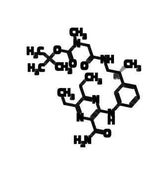 CCc1nc(Nc2cccc([C@@H](C)CNC(=O)CN(C)C(=O)OC(C)(C)C)c2)c(C(N)=O)nc1CC